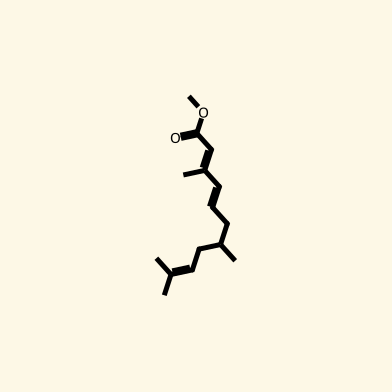 COC(=O)/C=C(C)/C=C/CC(C)CC=C(C)C